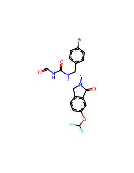 O=CNC(=O)N[C@@H](CN1Cc2ccc(OC(F)F)cc2C1=O)c1ccc(Br)cc1